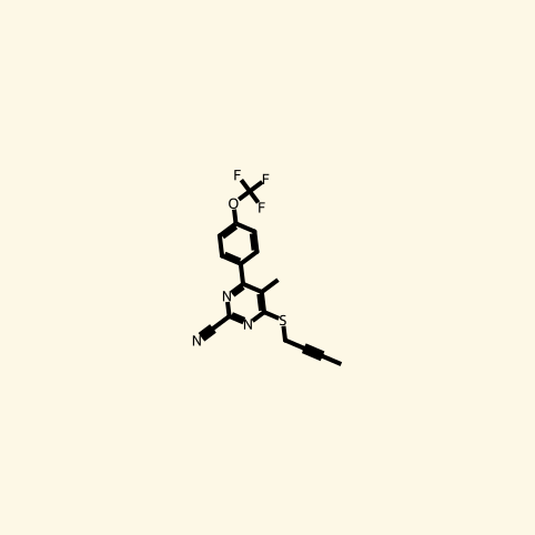 CC#CCSc1nc(C#N)nc(-c2ccc(OC(F)(F)F)cc2)c1C